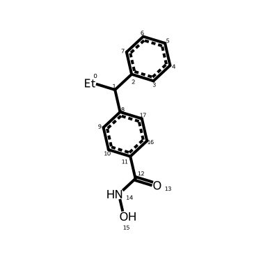 CCC(c1ccccc1)c1ccc(C(=O)NO)cc1